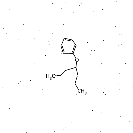 CCCC(CCC)Oc1[c]cccc1